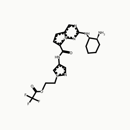 N[C@H]1CCCC[C@H]1Nc1ncc2ccc(C(=O)Nc3cnn(CCOC(=O)C(F)(F)F)c3)n2n1